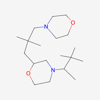 CC(N1CCOC(CC(C)(C)CN2CCOCC2)C1)C(C)(C)C